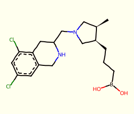 C[C@@H]1CN(CC2Cc3c(Cl)cc(Cl)cc3CN2)C[C@@H]1CCCB(O)O